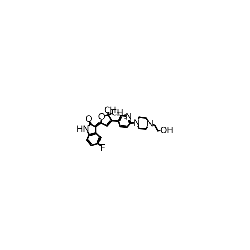 CC1(C)OC(=C2C(=O)Nc3ccc(F)cc32)C=C1c1ccc(N2CCN(CCO)CC2)nc1